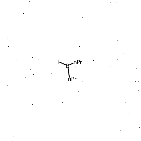 CCCB(I)CCC